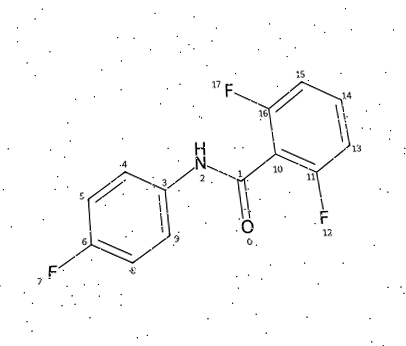 O=C(Nc1ccc(F)cc1)c1c(F)cccc1F